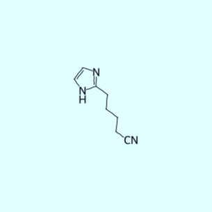 N#CCCCCc1ncc[nH]1